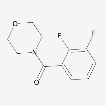 O=C(c1cc[c]c(F)c1F)N1CCOCC1